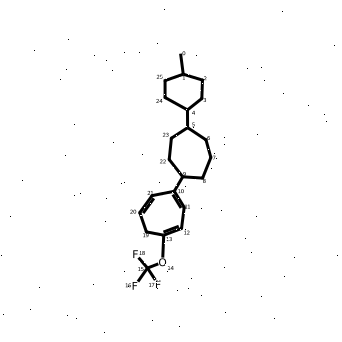 CC1CCC(C2CCCC(C3=CC=C(OC(F)(F)F)CC=C3)CC2)CC1